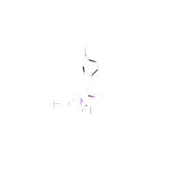 CON(C)C(=O)CCc1ccc(Cl)cc1